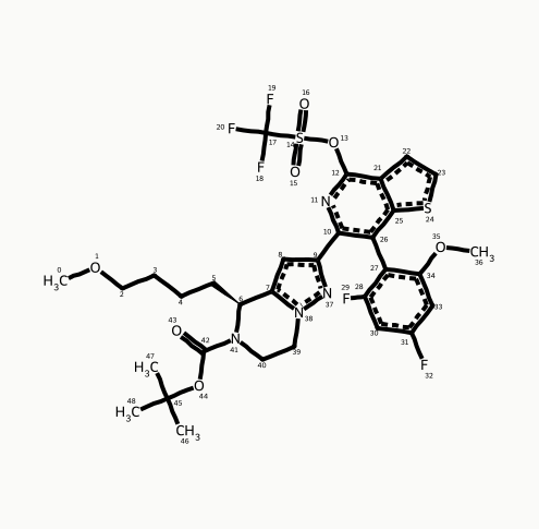 COCCCC[C@H]1c2cc(-c3nc(OS(=O)(=O)C(F)(F)F)c4ccsc4c3-c3c(F)cc(F)cc3OC)nn2CCN1C(=O)OC(C)(C)C